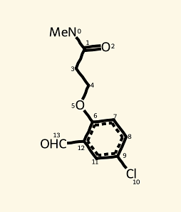 CNC(=O)CCOc1ccc(Cl)cc1C=O